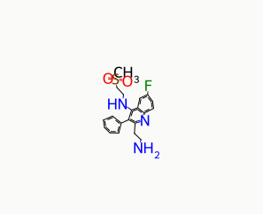 CS(=O)(=O)CCNc1c(-c2ccccc2)c(CCN)nc2ccc(F)cc12